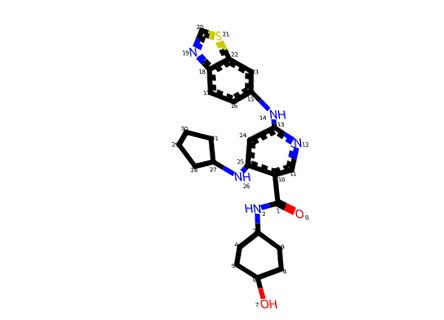 O=C(NC1CCC(O)CC1)c1cnc(Nc2ccc3ncsc3c2)cc1NC1CCCC1